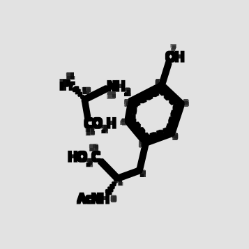 CC(=O)N[C@@H](Cc1ccc(O)cc1)C(=O)O.CC(C)[C@H](N)C(=O)O